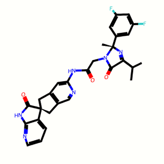 CC(C)C1=N[C@@](C)(c2cc(F)cc(F)c2)N(CC(=O)Nc2cc3c(cn2)C[C@]2(C3)C(=O)Nc3ncccc32)C1=O